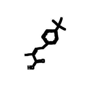 CC(=CCc1ccc(C(C)(C)C)cc1)C(=O)O